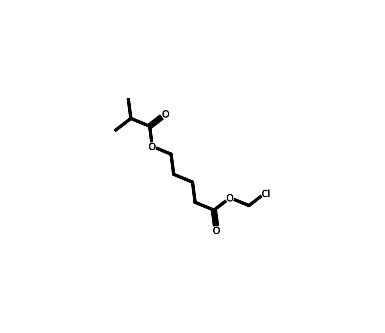 CC(C)C(=O)OCCCCC(=O)OCCl